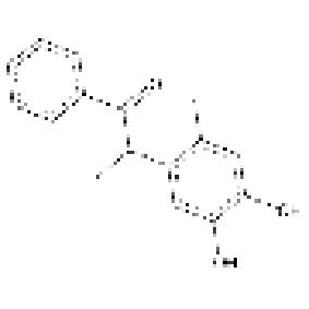 Cc1cc(O)c(O)cc1C(C)C(=O)c1ccccc1